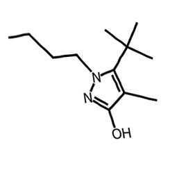 CCCCn1nc(O)c(C)c1C(C)(C)C